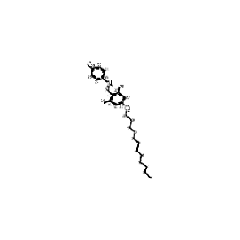 CCCCCCCCCCCCOc1cc(C)c(/N=N/c2ccc(C)cc2)c(C)c1